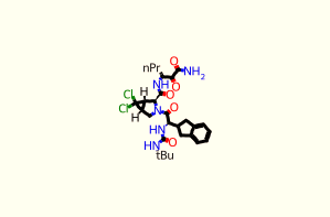 CCCC(NC(=O)[C@@H]1[C@@H]2[C@H](CN1C(=O)[C@@H](NC(=O)NC(C)(C)C)C1Cc3ccccc3C1)C2(Cl)Cl)C(=O)C(N)=O